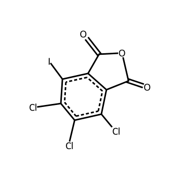 O=C1OC(=O)c2c(I)c(Cl)c(Cl)c(Cl)c21